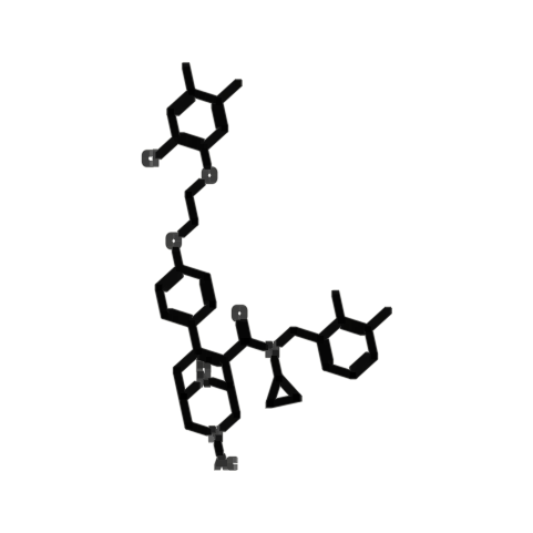 CC(=O)N1CC2CC(c3ccc(OCCOc4cc(C)c(C)cc4Cl)cc3)=C(C(=O)N(Cc3cccc(C)c3C)C3CC3)C(C1)N2